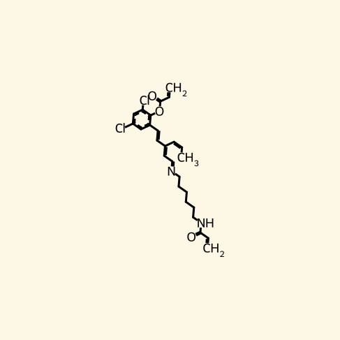 C=CC(=O)NCCCCCC/N=C/C=C(\C=C/C)/C=C/c1cc(Cl)cc(Cl)c1OC(=O)C=C